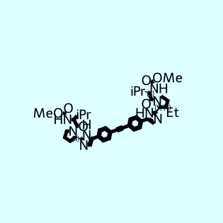 CC[C@@H]1CCN(C(=O)[C@@H](NC(=O)OC)C(C)C)[C@@H]1c1ncc(-c2ccc(C#Cc3ccc(-c4cnc([C@@H]5CCCN5C(=O)C(NC(=O)OC)C(C)C)[nH]4)cc3)cc2)[nH]1